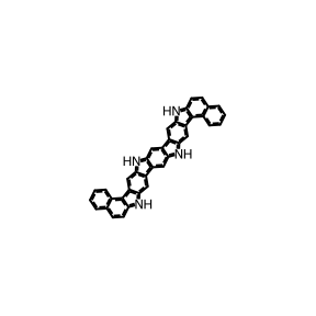 c1ccc2c(c1)ccc1[nH]c3cc4c(cc3c12)[nH]c1cc2c(cc14)[nH]c1cc3c(cc12)[nH]c1ccc2ccccc2c13